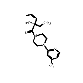 C/C=C\[C@@](CC=O)(C(=O)N1CCN(c2cc(C(F)(F)F)ccn2)CC1)C(C)C